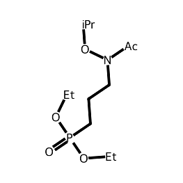 CCOP(=O)(CCCN(OC(C)C)C(C)=O)OCC